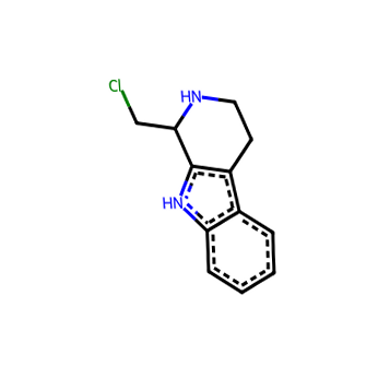 ClCC1NCCc2c1[nH]c1ccccc21